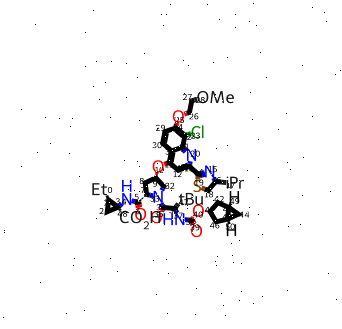 CC[C@@H]1C[C@]1(NC(=O)[C@@H]1C[C@@H](Oc2cc(C3=NC(C(C)C)CS3)nc3c(Cl)c(OCCOC)ccc23)CN1C(=O)C(NC(=O)O[C@@H]1C[C@@H]2C[C@@H]2C1)C(C)(C)C)C(=O)O